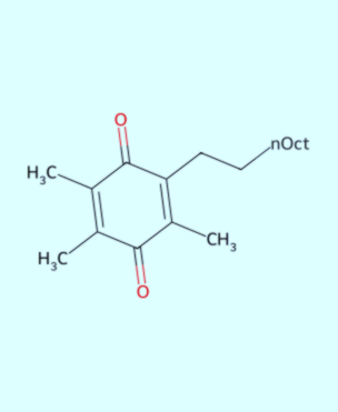 [CH2]CCCCCCCCCC1=C(C)C(=O)C(C)=C(C)C1=O